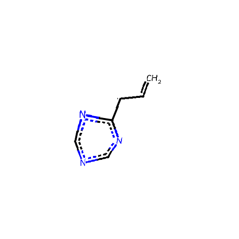 C=C[CH]c1ncncn1